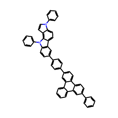 c1ccc(-c2ccc3c4ccc(-c5ccc(-c6ccc7c(c6)c6ccc8c(ccn8-c8ccccc8)c6n7-c6ccccc6)cc5)cc4c4ccccc4c3c2)cc1